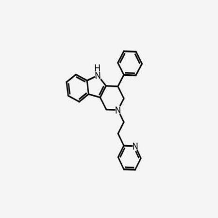 c1ccc(C2CN(CCc3ccccn3)Cc3c2[nH]c2ccccc32)cc1